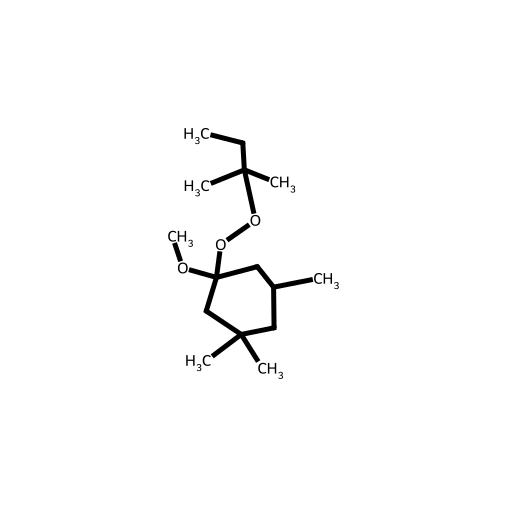 CCC(C)(C)OOC1(OC)CC(C)CC(C)(C)C1